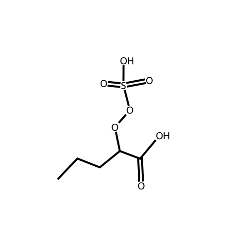 CCCC(OOS(=O)(=O)O)C(=O)O